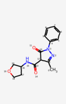 CC1=NN(c2ccccc2)C(=O)C1C(=O)NC1CCOC1